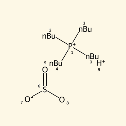 CCCC[P+](CCCC)(CCCC)CCCC.O=S([O-])[O-].[H+]